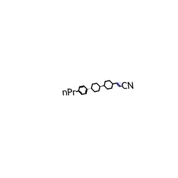 CCCc1ccc([C@H]2CC[C@H](C3CCC(/C=C/C#N)CC3)CC2)cc1